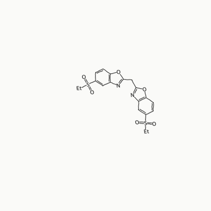 CCS(=O)(=O)c1ccc2oc(Cc3nc4cc(S(=O)(=O)CC)ccc4o3)nc2c1